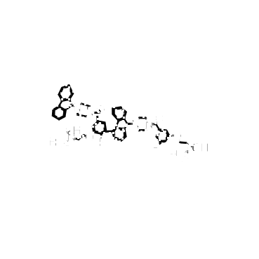 CN(C)CCOc1cc(F)cc(C(=O)N2CCN(C3c4ccccc4-c4c(-c5cc(C(=O)N6CCN(C7c8ccccc8-c8ccccc87)CC6)cc(OCCN(C)C)c5F)cccc43)CC2)c1